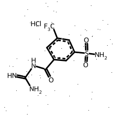 Cl.N=C(N)NC(=O)c1cc(C(F)(F)F)cc(S(N)(=O)=O)c1